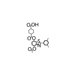 CC(=O)Oc1ccc(OC(=O)C2CCC(C(=O)O)CC2)c2sc(-c3cc(C)cc(C)c3)nc12